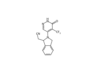 N#CCC1c2ccccc2CN1c1cn[nH]c(=O)c1C(F)(F)F